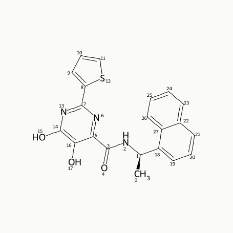 C[C@@H](NC(=O)c1nc(-c2cccs2)nc(O)c1O)c1cccc2ccccc12